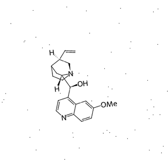 C=C[C@H]1C[N@@]2CCC1C[C@H]2[C@@H](O)c1ccnc2ccc(OC)cc12